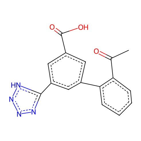 CC(=O)c1ccccc1-c1cc(C(=O)O)cc(-c2nnn[nH]2)c1